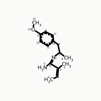 C/C=C(C)\C(N)=N/C(C)Cc1ccc(OC)cc1